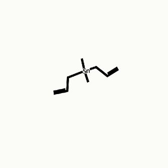 C=C[CH2][Sn]([CH3])([CH3])[CH2]C=C